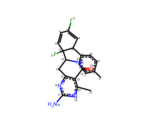 Cc1ccc(C2C=C(F)C=CC2(F)C2Cc3nc(N)nc(C)c3C(=O)N2)cc1